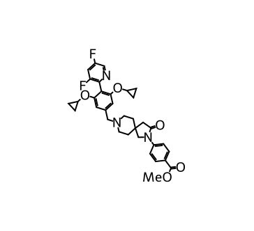 COC(=O)c1ccc(N2CC3(CCN(Cc4cc(OC5CC5)c(-c5ncc(F)cc5F)c(OC5CC5)c4)CC3)CC2=O)cc1